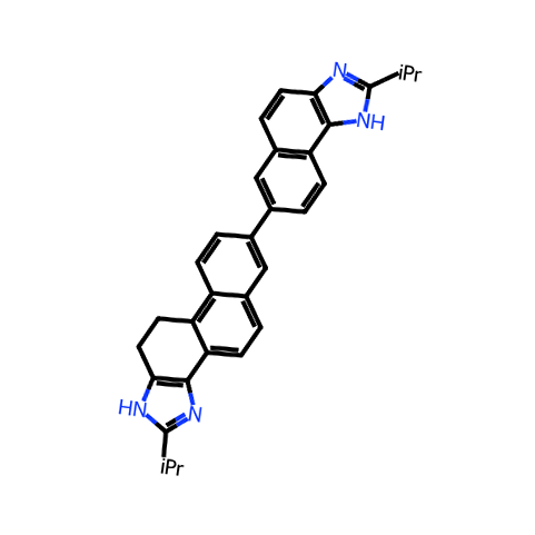 CC(C)c1nc2c([nH]1)CCc1c-2ccc2cc(-c3ccc4c(ccc5nc(C(C)C)[nH]c54)c3)ccc12